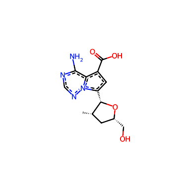 C[C@H]1C[C@@H](CO)O[C@H]1c1cc(C(=O)O)c2c(N)ncnn12